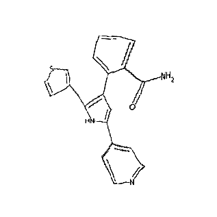 NC(=O)c1ccccc1-c1cc(-c2ccncc2)[nH]c1-c1ccsc1